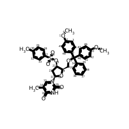 COc1ccc(C(OC[C@H]2O[C@@H](n3cc(C)c(=O)[nH]c3=O)C[C@H]2OS(=O)(=O)c2ccc(C)cc2)(c2ccccc2)c2ccc(OC)cc2)cc1